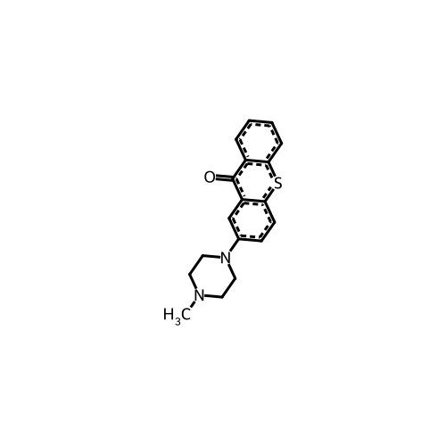 CN1CCN(c2ccc3sc4ccccc4c(=O)c3c2)CC1